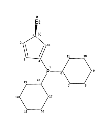 CC[C@@H]1C=CC(P(C2CCCCC2)C2CCCCC2)=C1